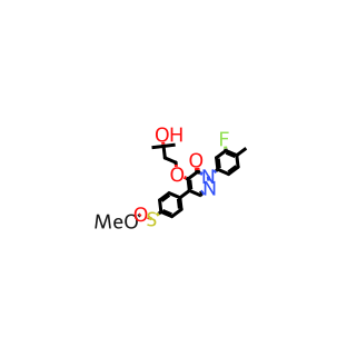 COOSc1ccc(-c2cnn(-c3ccc(C)c(F)c3)c(=O)c2OCCC(C)(C)O)cc1